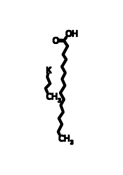 CCCCCCCCCCCCCCCC(=O)O.CCC[CH2][K]